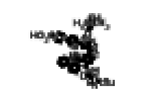 CC(NC(=O)c1nc(C(C)(C)C)no1)c1cc(F)c(-c2ncnc3c2cc(-c2ccc(N4CCN(C(=O)O)CC4)cn2)n3COCC[Si](C)(C)C)cc1CO[Si](c1ccccc1)(c1ccccc1)C(C)(C)C